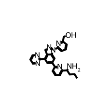 CCCC(N)c1cccc(-c2cc(-c3ncccn3)c3cnn(-c4cccc(CO)n4)c3c2)n1